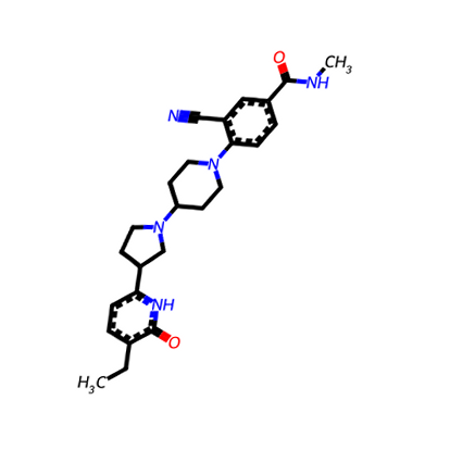 CCc1ccc(C2CCN(C3CCN(c4ccc(C(=O)NC)cc4C#N)CC3)C2)[nH]c1=O